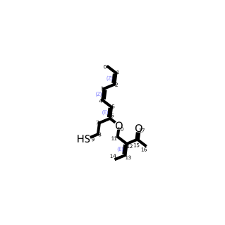 C\C=C/C=C\C=C(/CCS)OC/C(=C\C)C(C)=O